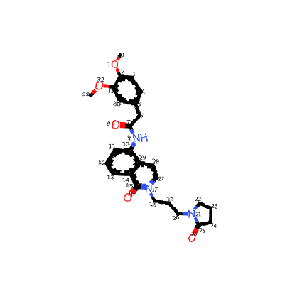 COc1ccc(CC(=O)Nc2cccc3c(=O)n(CCCN4CCCC4=O)ccc23)cc1OC